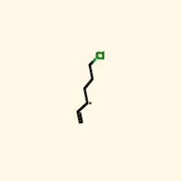 C=C[CH]CCCCl